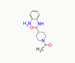 CC(=O)N1CCC(C(=O)Nc2ccccc2N)CC1